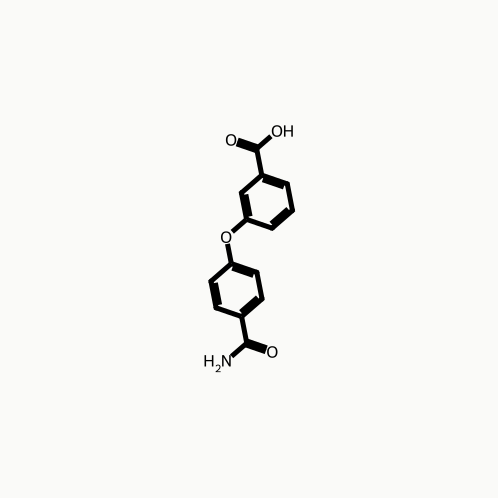 NC(=O)c1ccc(Oc2cccc(C(=O)O)c2)cc1